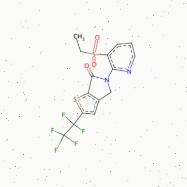 CCS(=O)(=O)c1cccnc1N1Cc2cc(C(F)(F)C(F)(F)F)sc2C1=O